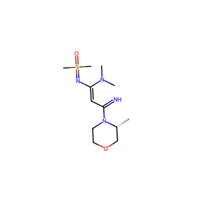 C[C@@H]1COCCN1C(=N)/C=C(/N=S(C)(C)=O)N(C)C